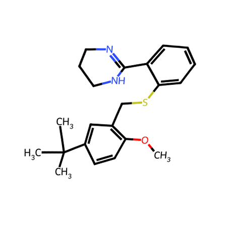 COc1ccc(C(C)(C)C)cc1CSc1ccccc1C1=NCCCN1